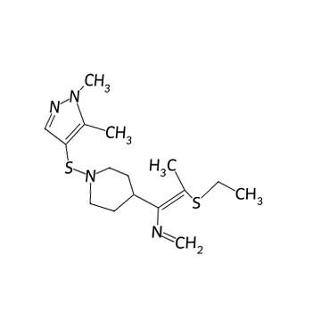 C=N/C(=C(/C)SCC)C1CCN(Sc2cnn(C)c2C)CC1